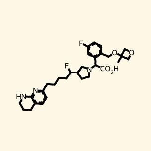 CC1(OCc2ccc(F)cc2C(C(=O)O)N2CC[C@@H](C(F)CCCCc3ccc4c(n3)NCCC4)C2)COC1